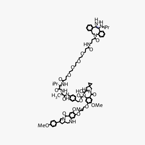 COc1ccc(C2=CN3C(=O)c4cc(OC)c(OCCCOc5cc6c(cc5OC)C(=O)N5CC7(CC7)C[C@H]5[C@H](O)N6C(=O)OCc5ccc(NC(=O)[C@H](C)NC(=O)[C@@H](NC(=O)CCOCCOCCOCCOCCC(=O)NCCC(=O)N6Cc7ccccc7/C(N)=C(/NC(C)C)c7ccccc76)C(C)C)cc5)cc4NCC3C2)cc1